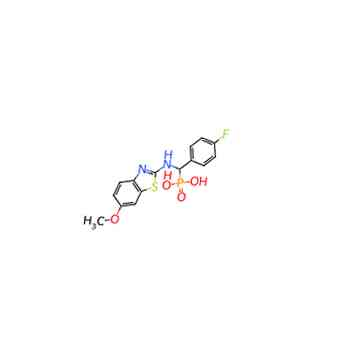 COc1ccc2nc(NC(c3ccc(F)cc3)P(=O)(O)O)sc2c1